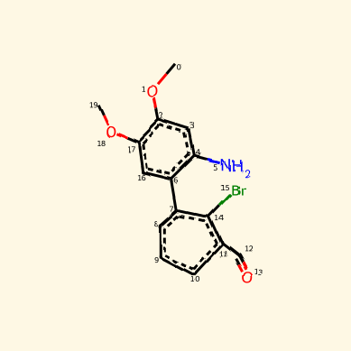 COc1cc(N)c(-c2cccc(C=O)c2Br)cc1OC